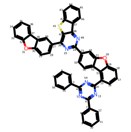 c1ccc(-c2nc(-c3ccccc3)nc(-c3cccc4oc5cc(-c6nc(-c7ccc8oc9ccccc9c8c7)c7sc8ccccc8c7n6)ccc5c34)n2)cc1